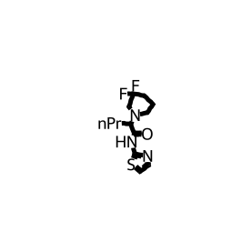 CCCC(C(=O)Nc1nccs1)N1CCCC(F)(F)C1